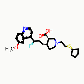 COc1ccc2nccc(C(F)CC[C@@H]3CCN(CCSC4CCCC4)C[C@@H]3C(=O)O)c2c1